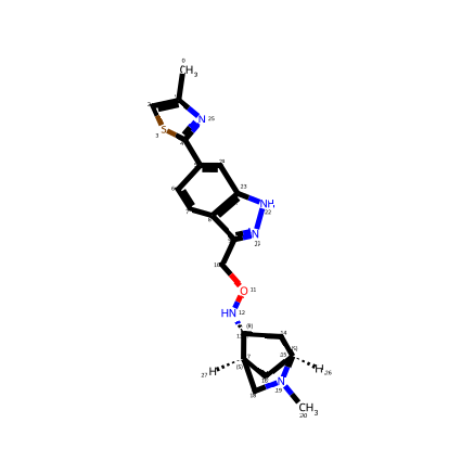 Cc1csc(-c2ccc3c(CON[C@@H]4C[C@@H]5C[C@H]4CN5C)n[nH]c3c2)n1